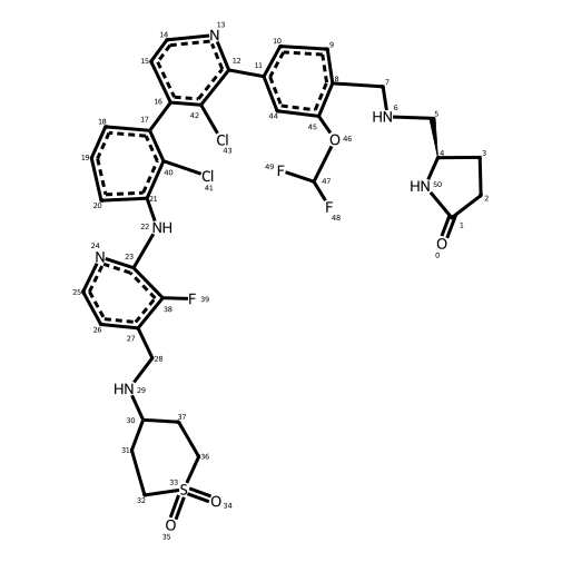 O=C1CC[C@H](CNCc2ccc(-c3nccc(-c4cccc(Nc5nccc(CNC6CCS(=O)(=O)CC6)c5F)c4Cl)c3Cl)cc2OC(F)F)N1